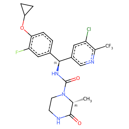 C[C@@H]1C(=O)NCCN1C(=O)N[C@@H](c1ccc(OC2CC2)c(F)c1)c1cnc(C(F)(F)F)c(Cl)c1